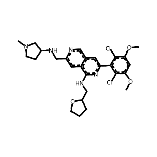 COc1cc(OC)c(Cl)c(-c2cc3cnc(CN[C@H]4CCN(C)C4)cc3c(NCC3CCCO3)n2)c1Cl